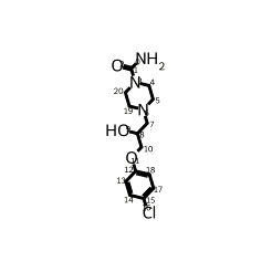 NC(=O)N1CCN(CC(O)COc2ccc(Cl)cc2)CC1